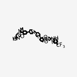 Cn1nc(N2CCC(=O)NC2=O)c2ccc(C3CCN(CC4CCN(c5cccc(S(=O)(=O)N6CC(Nc7ncc(C(F)(F)F)cn7)C6)c5)CC4)CC3)cc21